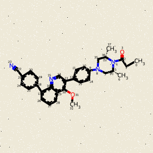 CCC(=O)N1[C@H](C)CN(c2ccc(-c3cnc4c(-c5ccc(C#N)cc5)cccc4c3OC)cc2)C[C@@H]1C